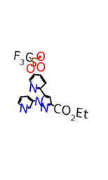 CCOC(=O)c1cc(-c2ccc(OS(=O)(=O)C(F)(F)F)cn2)n(-c2cccnc2)n1